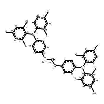 Cc1ccc(N(c2ccc(OBOc3ccc(N(c4ccc(C)cc4C)c4c(C)cc(C)cc4C)cc3)cc2)c2c(C)cc(C)cc2C)c(C)c1